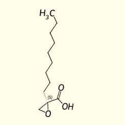 CCCCCCCCC[C@@]1(C(=O)O)CO1